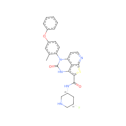 Cc1cc(Oc2ccccc2)ccc1N1C(=O)Nc2c(C(=O)N[C@H]3CNC[C@@H](F)C3)sc3nccc1c23